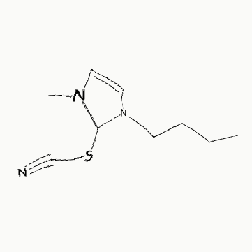 CCCCN1C=CN(C)C1SC#N